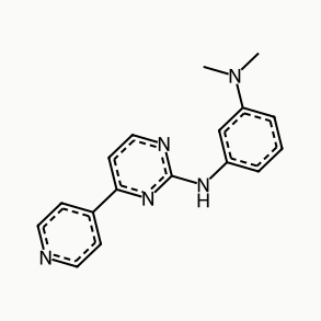 CN(C)c1cccc(Nc2nccc(-c3ccncc3)n2)c1